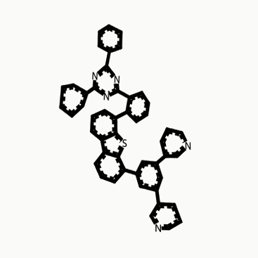 c1ccc(-c2nc(-c3ccccc3)nc(-c3ccccc3-c3cccc4c3sc3c(-c5cc(-c6cccnc6)cc(-c6cccnc6)c5)cccc34)n2)cc1